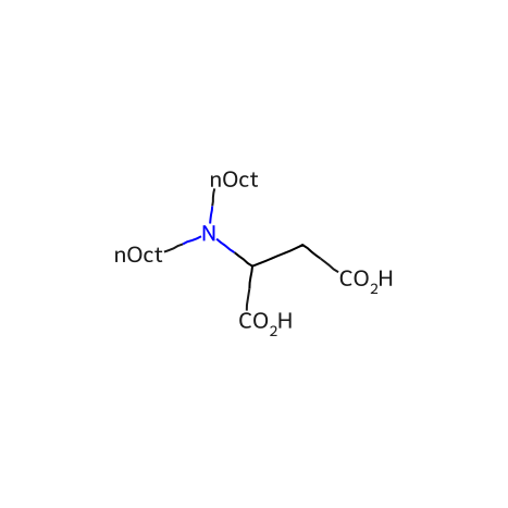 CCCCCCCCN(CCCCCCCC)C(CC(=O)O)C(=O)O